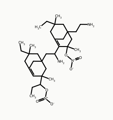 CCC(O[N+](=O)[O-])C1(C)C=C2CC(C)(CC)CC(CC(N)C3=C4CC(C)(CC)CC(CCN)(C4)CC3(C)O[N+](=O)[O-])(C2)C1